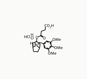 COc1cc(C[N+]2(C)C3CCC2CC(OC(=O)CCC(=O)O)C3)cc(OC)c1OC.Cl.Cl